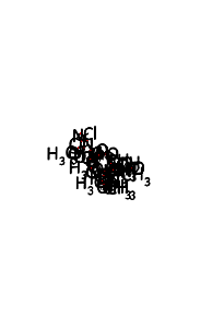 CC[C@H]1OC(=O)[C@H](C)[C@@H](O[C@H]2C[C@@](C)(OC)[C@@H](O)[C@H](C)O2)[C@H](C)[C@@H](O[C@@H]2O[C@H](C)C[C@H](N(C)C(=O)N3CCOCC3)[C@H]2O)[C@@]2(C)C[C@@H](CO2)C(=O)[C@H](C)[C@H]2N(CCCN(Cc3c(Cl)cncc3Cl)c3ccc(OC)c(OC4CCCC4)c3)C(=O)O[C@]12C